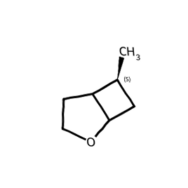 C[C@H]1CC2OCCC21